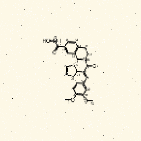 COc1ccc(/C=C(/C(=O)N2CCc3ccc(C(=O)NO)cc3C2)C2CC=CS2)cc1OC